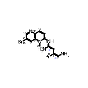 CC(C)C(=C/N)/C=C(\N)NC1C=Cc2ncc(Br)cc2N1C